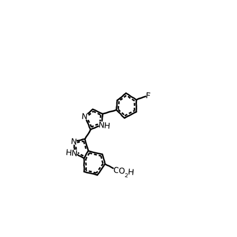 O=C(O)c1ccc2[nH]nc(-c3ncc(-c4ccc(F)cc4)[nH]3)c2c1